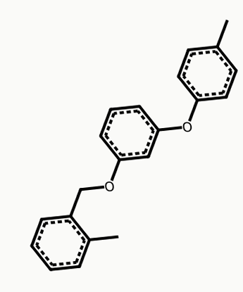 Cc1ccc(Oc2cccc(OCc3ccccc3C)c2)cc1